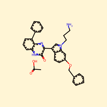 CC(=O)O.NCCCn1cc(-c2nc3c(-c4ccccc4)cccc3[nH]c2=O)c2ccc(OCc3ccccc3)cc21